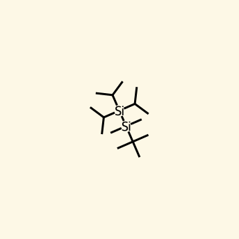 CC(C)[Si](C(C)C)(C(C)C)[Si](C)(C)C(C)(C)C